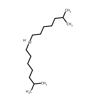 CC(C)CCCC[CH2][Al+][CH2]CCCCC(C)C.[H-]